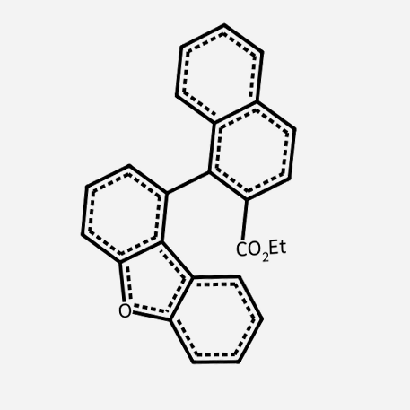 CCOC(=O)c1ccc2ccccc2c1-c1cccc2oc3ccccc3c12